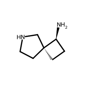 N[C@H]1CC[C@@]12CCNC2